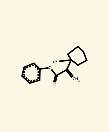 C=C(C(=O)Oc1ccccc1)C1(CCC)CCCCC1